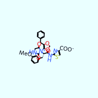 COc1cccc(C[C@@H](C(=O)Nc2nc(C(=O)[O-])cs2)[N+]2(C3=C(Cc4ccccc4)OCO3)C(=O)CNC2=O)c1